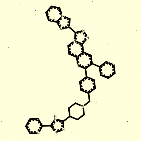 c1ccc(-c2cc3c(ccn4c(-c5cn6ccccc6n5)nnc34)nc2-c2ccc(CN3CCC(c4nnc(-c5ccccn5)[nH]4)CC3)cc2)cc1